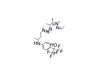 C/C=N\N(C)[C@H](C)C(C)/N=N\N(C)CCC(C)Nc1ccc(C(O)(C(F)(F)F)C(F)(F)F)cc1